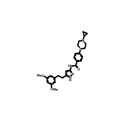 COc1cc(CCc2cc(NC(=O)c3ccc(N4CCN(C5CC5)CC4)cc3)n[nH]2)cc(OC)c1